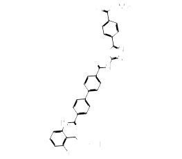 COC(=O)c1ccc(-c2nnc(NC(=O)c3ccc(-c4ccc(C(=O)Nc5cccc(C(C)C)c5CC(=O)O)cc4)cc3)s2)cc1